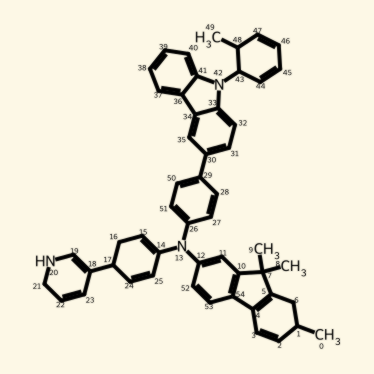 CC1C=CC2=C(C1)C(C)(C)c1cc(N(C3=CCC(C4=CNCC=C4)C=C3)c3ccc(-c4ccc5c(c4)c4ccccc4n5C4C=CC=CC4C)cc3)ccc12